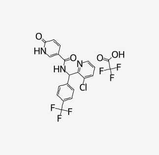 O=C(NC(c1ccc(C(F)(F)F)cc1)c1ncccc1Cl)c1ccc(=O)[nH]c1.O=C(O)C(F)(F)F